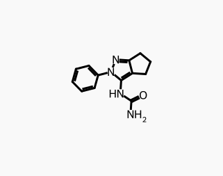 NC(=O)Nc1c2c(nn1-c1ccccc1)CCC2